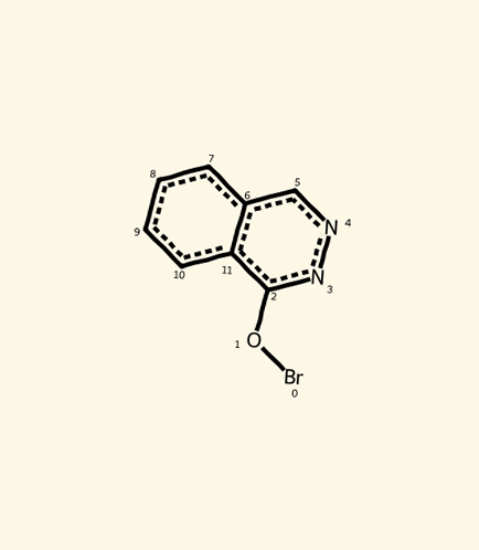 BrOc1nncc2ccccc12